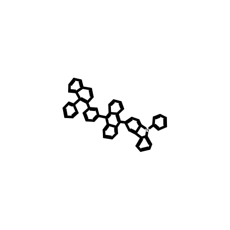 c1ccc(-c2c(-c3cccc(-c4c5ccccc5c(-c5ccc6c(c5)c5ccccc5n6-c5ccccc5)c5ccccc45)c3)ccc3ccccc23)cc1